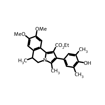 CCOC(=O)c1c(-c2cc(C)c(O)c(C)c2)c(C)n2c1-c1cc(OC)c(OC)cc1C(C)C2